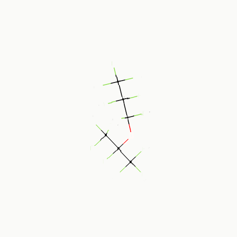 FC(F)(F)C(F)(F)C(F)(F)OC(F)(C(F)(F)F)C(F)(F)F